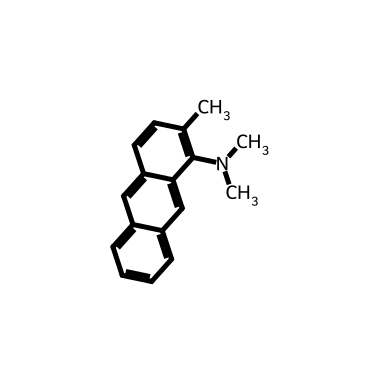 Cc1ccc2cc3ccccc3cc2c1N(C)C